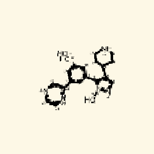 Cl.Cl.On1ncc(C2CCNCC2)c1-c1cccc(-c2cnccn2)c1